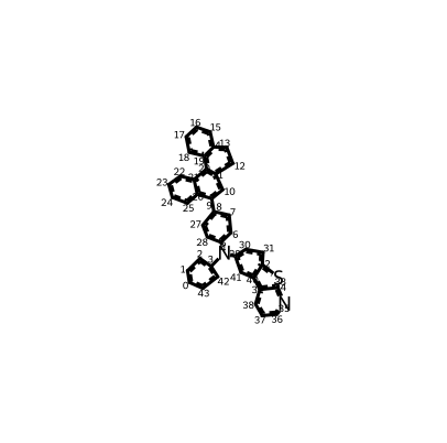 c1ccc(N(c2ccc(-c3cc4ccc5ccccc5c4c4ccccc34)cc2)c2ccc3sc4ncccc4c3c2)cc1